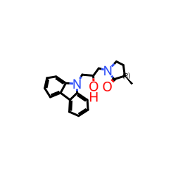 C[C@@H]1CCN(CC(O)Cn2c3ccccc3c3ccccc32)C1=O